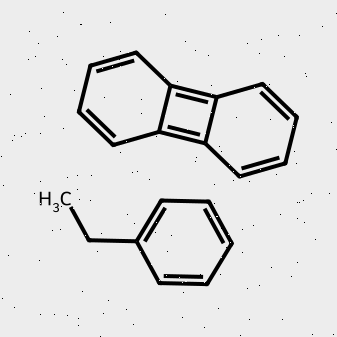 CCc1ccccc1.c1ccc2c(c1)=c1ccccc1=2